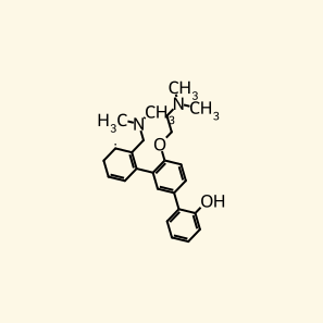 CN(C)CCOc1ccc(-c2ccccc2O)cc1C1=C(CN(C)C)[CH]CC=C1